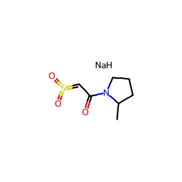 CC1CCCN1C(=O)C=S(=O)=O.[NaH]